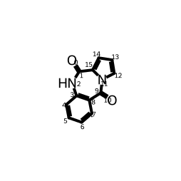 O=c1[nH]c2ccc[c]c2c(=O)n2cccc12